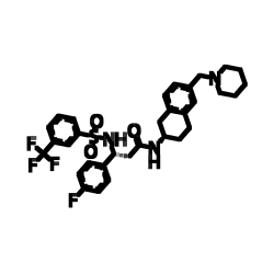 O=C(C[C@@H](NS(=O)(=O)c1cccc(C(F)(F)F)c1)c1ccc(F)cc1)N[C@@H]1CCc2cc(CN3CCCCC3)ccc2C1